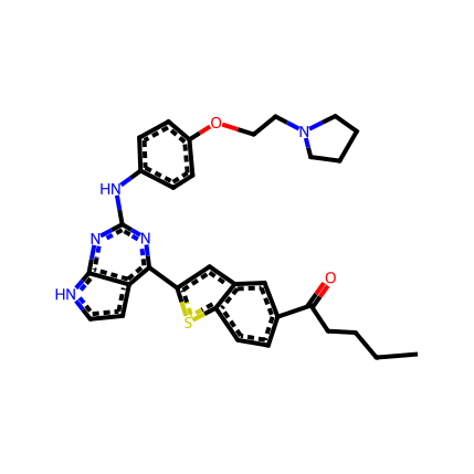 CCCCC(=O)c1ccc2sc(-c3nc(Nc4ccc(OCCN5CCCC5)cc4)nc4[nH]ccc34)cc2c1